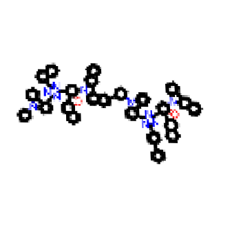 c1ccc(-c2ccc(-c3nc(-c4ccc(-n5c6ccccc6c6cc7ccccc7cc65)c5oc6cc7ccccc7cc6c45)nc(-c4cccc5c4c4ccccc4n5-c4cccc(-c5ccc6ccc7c(c6c5)c5cc6ccccc6cc5n7-c5ccc(-c6nc(-c7cccc8ccccc78)nc(-c7cccc8c7c7ccccc7n8-c7ccccc7)n6)c6c5oc5c7ccccc7ccc56)c4)n3)cc2)cc1